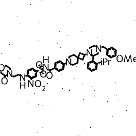 COc1ccc(CN2CCN(C3CC4(CCN(c5ccc(C(=O)NS(=O)(=O)c6ccc(NCCN7CCOCC7=O)c([N+](=O)[O-])c6)cc5)CC4)C3)C(c3ccccc3C(C)C)C2)cc1